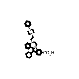 O=C(O)c1ccc2c(C3CCCCC3)c3n(c2c1)CCN(CCN1CCN(c2ccccc2)CC1)c1ccccc1-3